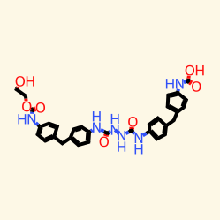 O=C(O)Nc1ccc(Cc2ccc(NC(=O)NNC(=O)Nc3ccc(Cc4ccc(NC(=O)OCCO)cc4)cc3)cc2)cc1